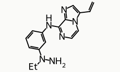 C=Cc1cnc2c(Nc3cccc(N(N)CC)c3)nccn12